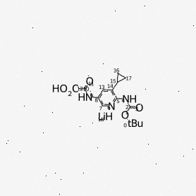 CC(C)(C)OC(=O)Nc1ncc(NC(=O)C(=O)O)cc1C1CC1.[LiH]